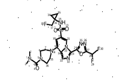 CN(C)C(=O)N1CCN(c2cc(S(=O)(=O)NC3(CF)CC3)cn3c(-c4nnc(C(F)F)o4)ncc23)CC1